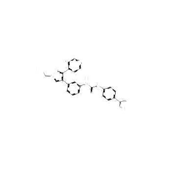 CCn1cc(-c2cccc(NC(=O)Nc3ccc(C(C)C)cc3)c2)c(-c2ccncc2)n1